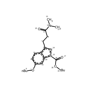 CCCCOc1ccc2c(CCC(=O)N(C)C)nn(C(=O)OC(C)(C)C)c2c1